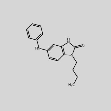 CCCCn1c(=O)[nH]c2cc(Nc3ccccc3)ccc21